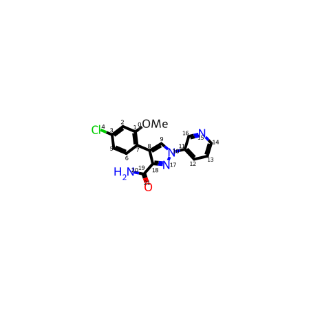 COc1cc(Cl)ccc1-c1cn(-c2cccnc2)nc1C(N)=O